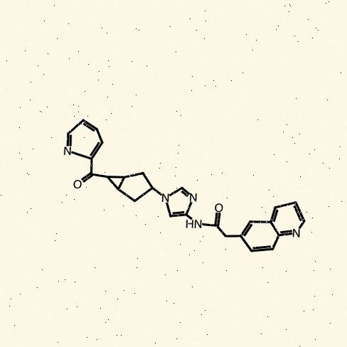 O=C(Cc1ccc2ncccc2c1)Nc1cn(C2CC3C(C2)C3C(=O)c2ccccn2)cn1